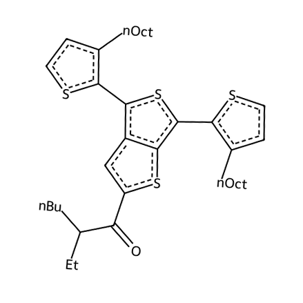 CCCCCCCCc1ccsc1-c1sc(-c2sccc2CCCCCCCC)c2sc(C(=O)C(CC)CCCC)cc12